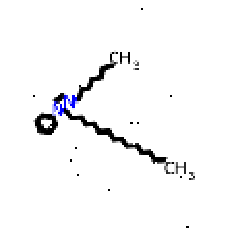 CCCCCCCCCCCCCCCC1N(CCCCCCCC)C=CN1c1ccccc1